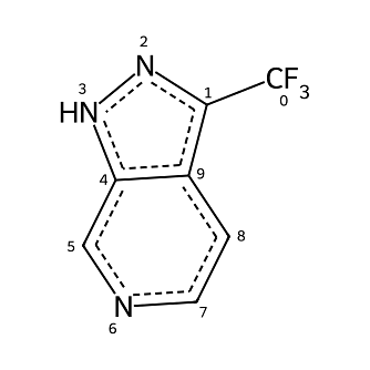 FC(F)(F)c1n[nH]c2cnccc12